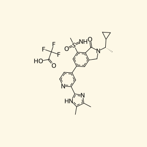 Cc1nc(-c2cc(-c3cc4c(c(S(C)(=N)=O)c3)C(=O)N([C@@H](C)C3CC3)C4)ccn2)[nH]c1C.O=C(O)C(F)(F)F